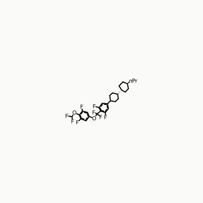 CCC[C@H]1CC[C@H](C2CCC(c3cc(F)c(C(F)(F)Oc4cc(F)c(OC(F)F)c(F)c4)c(F)c3)CC2)CC1